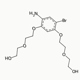 Nc1cc(Br)c(OCCOCCO)cc1OCCOCCO